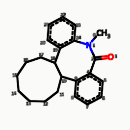 CN1C(=O)c2ccccc2C2CCCCCCCC2c2ccccc21